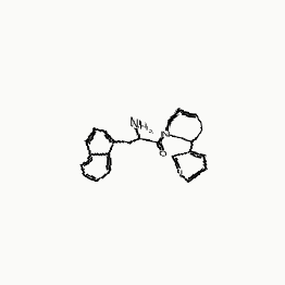 NC(Cc1cccc2ccccc12)C(=O)N1CC=CCC1c1cccnc1